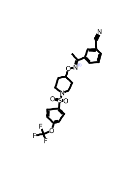 C/C(=N\OC1CCN(S(=O)(=O)c2ccc(OC(F)(F)F)cc2)CC1)c1cccc(C#N)c1